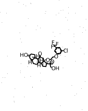 C[C@]12CC[C@@H](O)C[C@H]1CC[C@@H]1[C@@H]2C(=O)C[C@@]2(C)[C@H]1CC[C@]2(OC(=O)COc1cc(Cl)cc(C(F)(F)F)c1)C(=O)CO